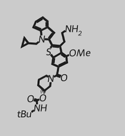 COc1cc(C(=O)N2CCC[C@@H](OC(=O)NC(C)(C)C)C2)cc2sc(-c3cc4ccccc4n3CC3CC3)c(CCN)c12